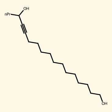 CCCC(O)C#CCCCCCCCCCCCCO